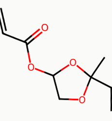 C=CC(=O)OC1COC(C)(CC)O1